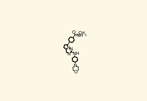 CNC(=O)c1ccc(-c2ccc3cnc(Nc4ccc(N5CCOCC5)cc4)nn23)cc1